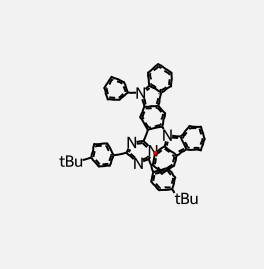 CC(C)(C)c1ccc(-c2nc(-c3ccc(C(C)(C)C)cc3)nc(-c3cc4c(cc3-n3c5ccccc5c5ccccc53)c3ccccc3n4-c3ccccc3)n2)cc1